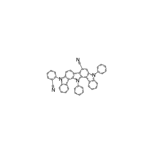 N#Cc1ccccc1-n1c2ccccc2c2c1ccc1c3c(C#N)cc4c(c5ccccc5n4-c4ccccc4)c3n(-c3ccccc3)c12